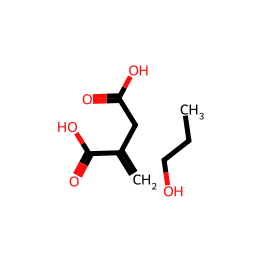 C=C(CC(=O)O)C(=O)O.CCCO